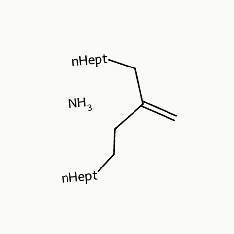 C=C(CCCCCCCC)CCCCCCCCC.N